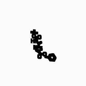 CC(NC(=O)OC(C)(C)C)c1ncc(C(=O)OCc2ccccc2)s1